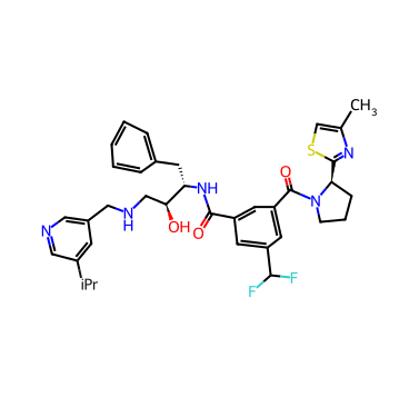 Cc1csc([C@H]2CCCN2C(=O)c2cc(C(=O)N[C@@H](Cc3ccccc3)[C@@H](O)CNCc3cncc(C(C)C)c3)cc(C(F)F)c2)n1